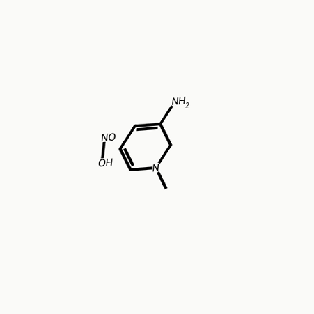 CN1C=CC=C(N)C1.O=NO